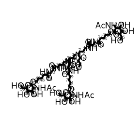 COCC(O)C(=O)N(CCCNC(=O)CNC(=O)CCCCO[C@@H]1OC(CO)[C@H](O)C(O)C1NC(C)=O)CCCN(CCCNC(=O)CNC(=O)CCCCO[C@@H]1OC(CO)[C@H](O)C(O)C1NC(C)=O)C(=O)CNC(=O)CCCCO[C@@H]1OC(CO)[C@H](O)C(O)C1NC(C)=O